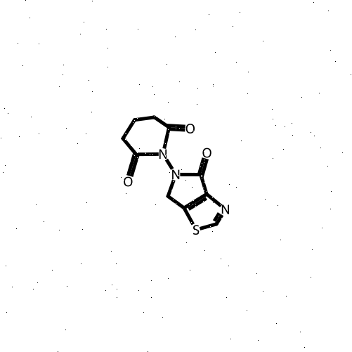 O=C1c2ncsc2CN1N1C(=O)CCCC1=O